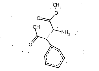 COC(=O)C(N)[C@@H](C(=O)O)c1ccccc1